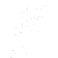 C[C@H](NC(=O)OCC1c2ccccc2-c2ccccc21)C(=O)N(C)[C@@H](COC(C)(C)C)C(=O)N1C[C@@]2(C[C@H]1C(N)=O)Oc1cc(F)cc(F)c1NC2=O